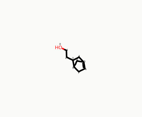 OCCC1CC2=CCC1C2